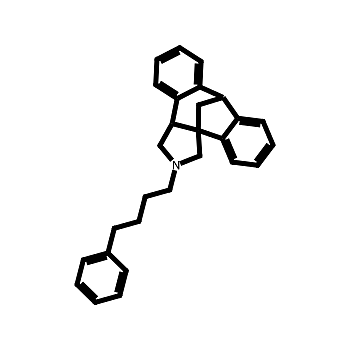 c1ccc(CCCCN2CC3c4ccccc4C4CC3(C2)c2ccccc24)cc1